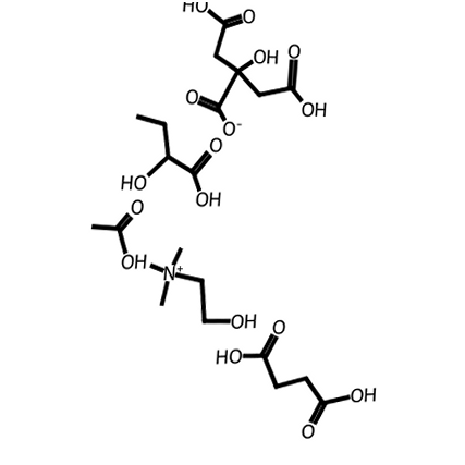 CC(=O)O.CCC(O)C(=O)O.C[N+](C)(C)CCO.O=C(O)CC(O)(CC(=O)O)C(=O)[O-].O=C(O)CCC(=O)O